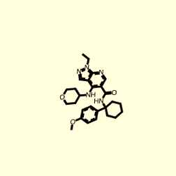 CCn1ncc2c(NC3CCOCC3)c(C(=O)NC3(c4ccc(OC)cc4)CCCCC3)cnc21